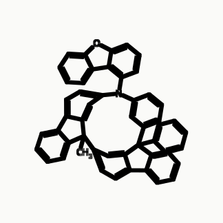 CC12c3ccc4c(c3)C(c3ccccc3)(c3cccc(c3)N(c3cccc5oc6ccccc6c35)c3ccc(c1c3)-c1ccccc12)c1ccccc1-4